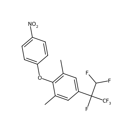 Cc1cc(C(F)(C(F)F)C(F)(F)F)cc(C)c1Oc1ccc([N+](=O)[O-])cc1